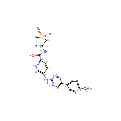 COc1ccc(-c2cnc(Nc3ccc(C(=O)NC4CCS(=O)(=O)C4)nc3)nc2)cc1